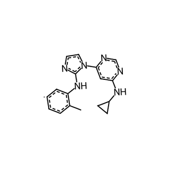 Cc1cc[c]cc1Nc1nccn1-c1cc(NC2CC2)ncn1